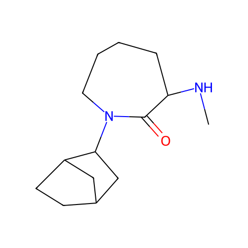 CNC1CCCCN(C2CC3CCC2C3)C1=O